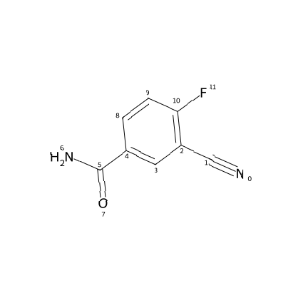 N#Cc1cc(C(N)=O)ccc1F